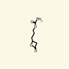 NC(=O)OCCCC1CC(=O)O1